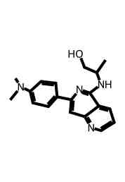 CC(CO)Nc1nc(-c2ccc(N(C)C)cc2)cc2ncccc12